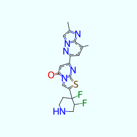 Cc1cn2nc(-c3cc(=O)n4cc(C5(F)CCNCC5F)sc4n3)cc(C)c2n1